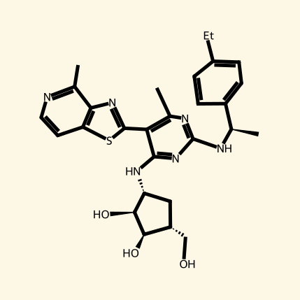 CCc1ccc([C@@H](C)Nc2nc(C)c(-c3nc4c(C)nccc4s3)c(N[C@@H]3C[C@H](CO)[C@@H](O)[C@H]3O)n2)cc1